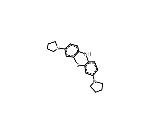 c1cc2c(cc1N1CCCC1)Sc1cc(N3CCCC3)ccc1N2